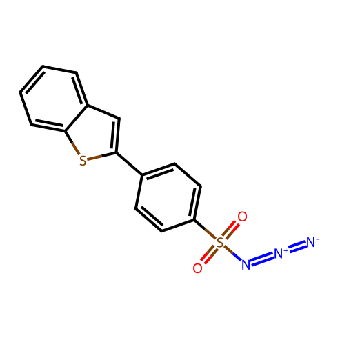 [N-]=[N+]=NS(=O)(=O)c1ccc(-c2cc3ccccc3s2)cc1